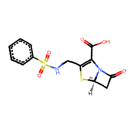 O=C(O)C1=C(CNS(=O)(=O)c2ccccc2)S[C@@H]2CC(=O)N12